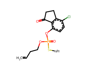 C=CCCOP(=O)(Oc1ccc(Cl)c2c1C(=O)CC2)SCCC